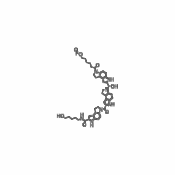 O=POCCCCCC(=O)N1CCc2c1ccc1[nH]c(C(O)N3CCc4c3ccc3[nH]c(C(=O)N5CCc6c5ccc5[nH]c(C(=O)NCCCCCO)cc65)cc43)cc21